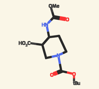 COC(=O)NC1CCN(C(=O)OC(C)(C)C)CC1C(=O)O